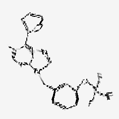 FC(F)(F)Oc1cccc(Cn2cnc3c(-c4ccco4)ncnc32)c1